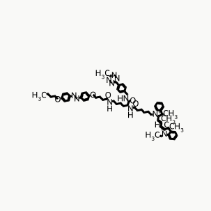 CCCCOc1ccc(N=Nc2ccc(OCCCC(=O)NCCCCC(NC(=O)CCCCC[N+]3=C(/C=C/C=C4/N(CC)c5ccccc5C4(C)C)C(C)(C)c4ccccc43)C(=O)NCc3ccc(-c4nnc(C)nn4)cc3)cc2)cc1